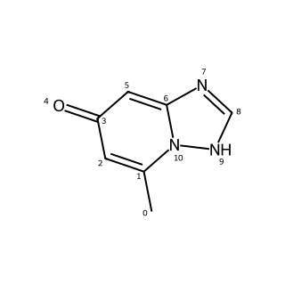 Cc1cc(=O)cc2nc[nH]n12